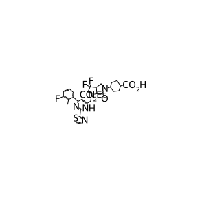 CCOC(=O)C1=C(CN2CC(F)(F)C3CN(C4CCC(C(=O)O)CC4)C(=O)C32)NC(c2nccs2)=NC1c1cccc(F)c1C